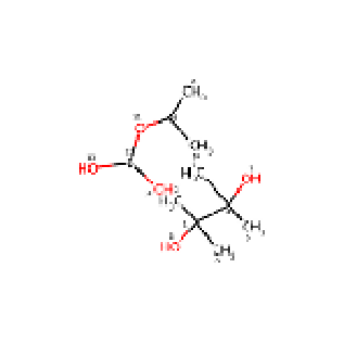 CC(C)(O)C(C)(C)O.CC(C)OB(O)O